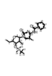 CCC1OCC(n2cc(C)c(NC(=O)c3ccccc3)nc2=O)C(F)C1O[Si](C)(C)C(C)(C)C